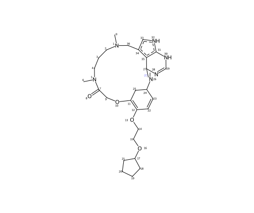 CN1CCCN(C)C(=O)COC2=C(OCCOC3CCCC3)C=CC(C2)/N=C2\N=CNc3[nH]cc(c32)C1